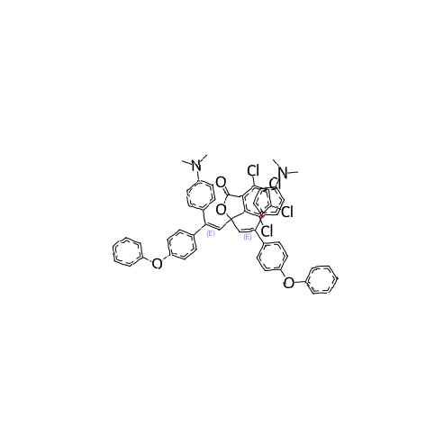 CN(C)c1ccc(/C(=C\C2(/C=C(/c3ccc(Oc4ccccc4)cc3)c3ccc(N(C)C)cc3)OC(=O)c3c(Cl)c(Cl)c(Cl)c(Cl)c32)c2ccc(Oc3ccccc3)cc2)cc1